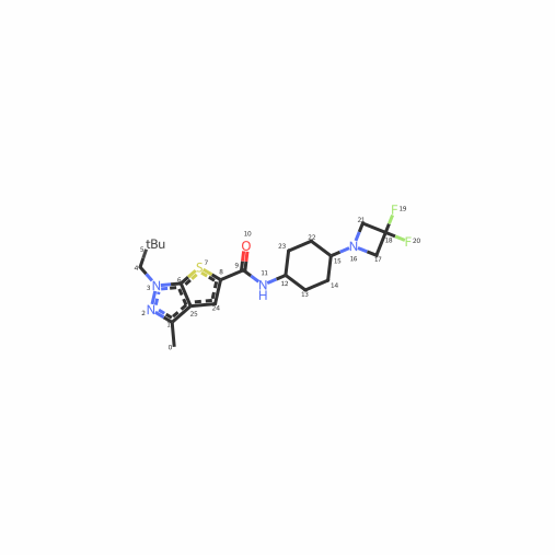 Cc1nn(CC(C)(C)C)c2sc(C(=O)NC3CCC(N4CC(F)(F)C4)CC3)cc12